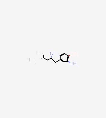 C[C@@H](C[C@@H](N)Cc1ccc(O)c(N)c1)C(=O)O